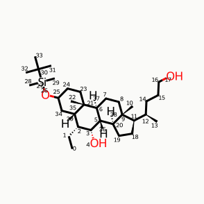 CC[C@H]1[C@@H](O)[C@@H]2[C@H](CC[C@]3(C)[C@@H]([C@H](C)CCCO)CC[C@@H]23)[C@@]2(C)CCC(O[Si](C)(C)C(C)(C)C)C[C@@H]12